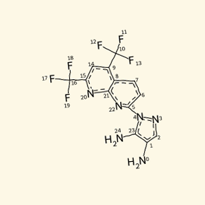 Nc1cnn(-c2ccc3c(C(F)(F)F)cc(C(F)(F)F)nc3n2)c1N